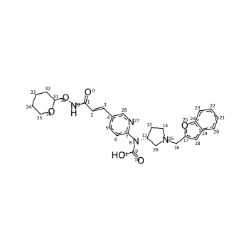 O=C(/C=C/c1ccc(N(C(=O)O)[C@@H]2CCN(Cc3cc4ccccc4o3)C2)nc1)NOC1CCCCO1